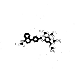 CC(=O)NC1CCC(c2ccc(C(=O)O[C@@H]3CC(COC(C)=O)[C@@H](OC(C)=O)C(OC(C)=O)C3OC(C)=O)cc2)c2ccccc21